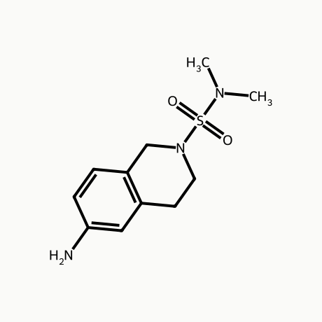 CN(C)S(=O)(=O)N1CCc2cc(N)ccc2C1